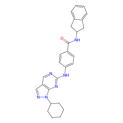 O=C(NC1Cc2ccccc2C1)c1ccc(Nc2ncc3cnn(C4CCCCC4)c3n2)cc1